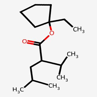 CCC1(OC(=O)C(CC(C)C)C(C)C)CCCC1